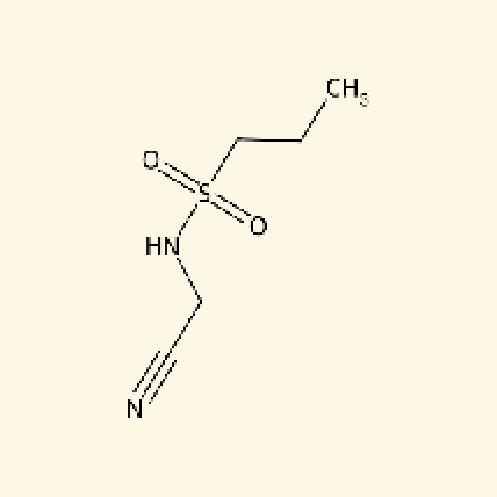 CCCS(=O)(=O)NCC#N